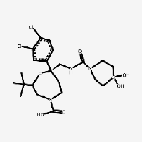 CC(C)(C)C1CN(C(=O)O)CC[C@@](CNC(=O)N2CCS(O)(O)CC2)(c2ccc(Cl)c(Cl)c2)O1